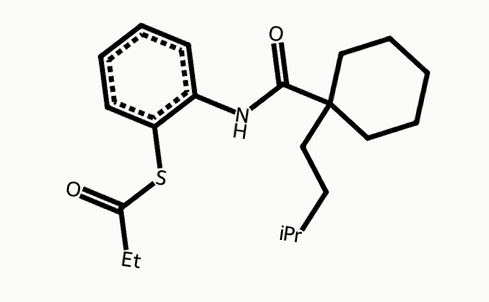 CCC(=O)Sc1ccccc1NC(=O)C1(CCC(C)C)CCCCC1